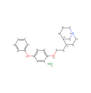 Cl.c1ccc(Oc2ccc(OCCC3CCN4CCCC3C4)cc2)cc1